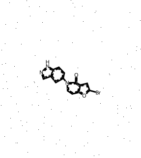 O=c1c2cc(Br)oc2ccn1-c1ccc2[nH]ncc2c1